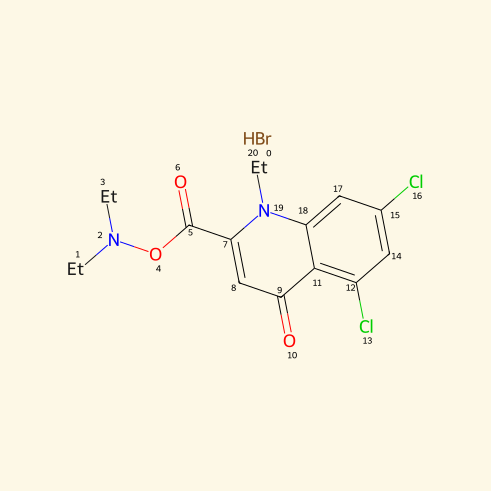 Br.CCN(CC)OC(=O)c1cc(=O)c2c(Cl)cc(Cl)cc2n1CC